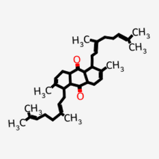 CC(C)=CCC/C(C)=C/CC1C(C)=CCC2C(=O)C3C(CC=C(C)C3C/C=C(\C)CCC=C(C)C)C(=O)C21